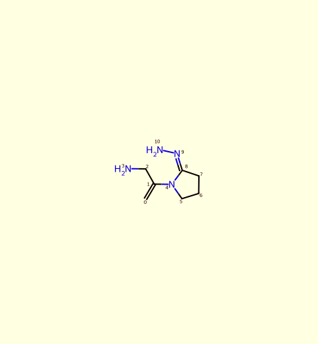 C=C(CN)N1CCC/C1=N/N